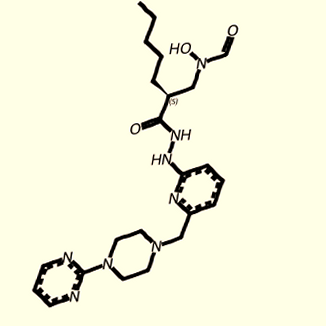 CCCCC[C@@H](CN(O)C=O)C(=O)NNc1cccc(CN2CCN(c3ncccn3)CC2)n1